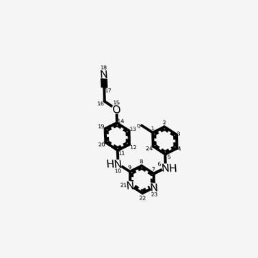 Cc1cccc(Nc2cc(Nc3ccc(OCC#N)cc3)ncn2)c1